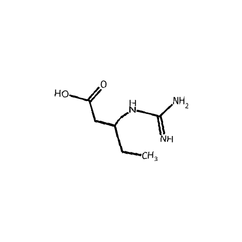 CCC(CC(=O)O)NC(=N)N